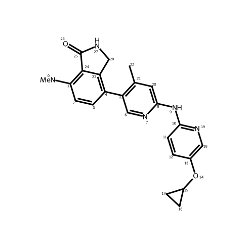 CNc1ccc(-c2cnc(Nc3ccc(OC4CC4)cn3)cc2C)c2c1C(=O)NC2